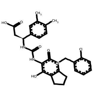 Cc1ccc([C@H](CC(=O)O)NC(=O)Nc2c(O)c3c(n(Cc4ccccc4Cl)c2=O)CCC3)cc1C